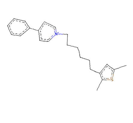 Cc1cc(CCCCCC[n+]2ccc(-c3ccccc3)cc2)c(C)s1